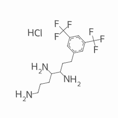 Cl.NCCCC(N)C(N)CCc1cc(C(F)(F)F)cc(C(F)(F)F)c1